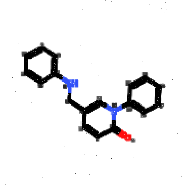 O=c1ccc(CNc2ccccc2)cn1-c1ccccc1